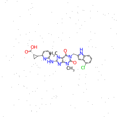 Cn1c(Nc2cccc(C3C[C@@H]3C(=O)O)n2)nc2c1c(=O)n(Cc1cc3c(Cl)cccc3[nH]1)c(=O)n2C